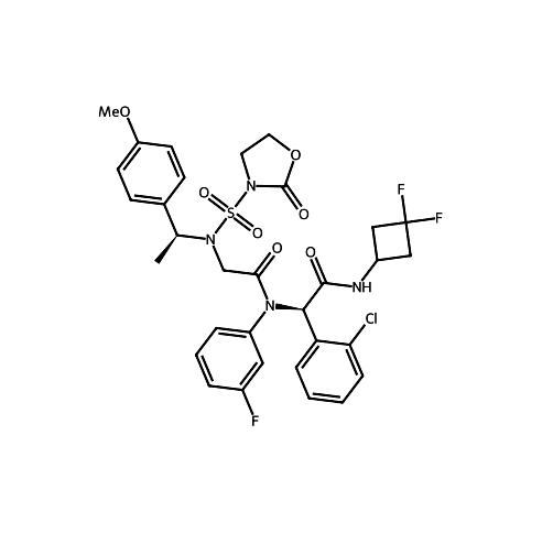 COc1ccc([C@H](C)N(CC(=O)N(c2cccc(F)c2)[C@@H](C(=O)NC2CC(F)(F)C2)c2ccccc2Cl)S(=O)(=O)N2CCOC2=O)cc1